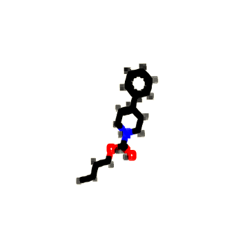 CCCCOC(=O)N1CC=C(c2ccccc2)CC1